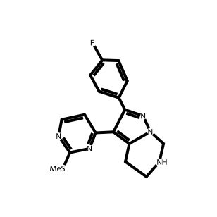 CSc1nccc(-c2c(-c3ccc(F)cc3)nn3c2CCNC3)n1